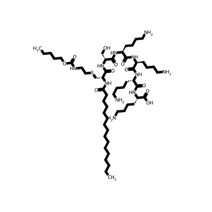 CCCCCCCCCCCCCCCC(=O)N[C@H](CSCCNC(=O)OCCCCC)C(=O)N[C@H](CO)C(=O)N[C@@H](CCCCN)C(=O)N[C@@H](CCCCN)C(=O)N[C@@H](CCCCN)C(=O)N[C@@H](CCCCN)C(=O)O